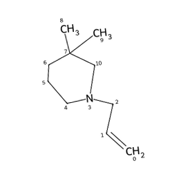 C=CCN1CCCC(C)(C)C1